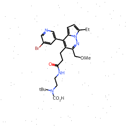 CCc1ccc2c(-c3cncc(Br)c3)c(CCC(=O)NCCN(C(=O)O)C(C)(C)C)c(COC)nn12